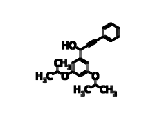 CC(C)Oc1cc(OC(C)C)cc(C(O)C#Cc2ccccc2)c1